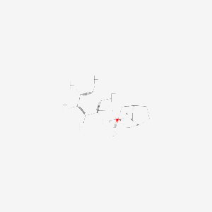 COC(=S)N1C2CCC1CC(Oc1c(F)c(F)c(F)c(F)c1F)C2